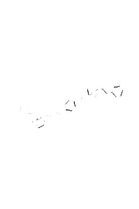 Cc1cccc(C=Cc2nc(COc3ccc(CCCCn4ccnc4CCO)cc3)co2)c1